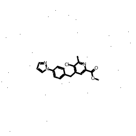 COC(=O)c1cc(Cc2ccc(-n3cccn3)cc2)c(Cl)c(C)n1